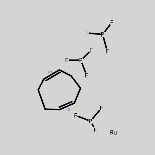 C1=C\CC/C=C\CC/1.FP(F)F.FP(F)F.FP(F)F.[Ru]